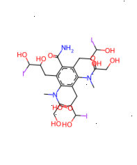 CN(C(=O)CO)c1c(CC(O)C(O)I)c(C(N)=O)c(CC(O)C(O)I)c(N(C)C(=O)CO)c1CC(O)C(O)I